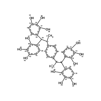 CC(c1ccc(C(C)C(c2ccc(O)c(O)c2O)c2ccc(O)c(O)c2O)cc1)C(c1ccc(O)c(O)c1O)c1ccc(O)c(O)c1O